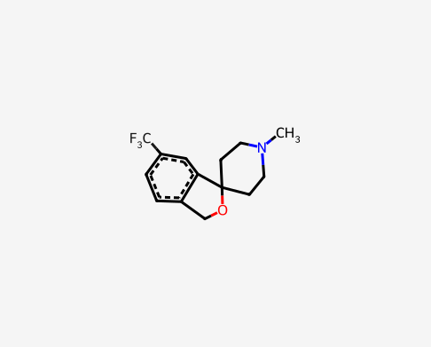 CN1CCC2(CC1)OCc1ccc(C(F)(F)F)cc12